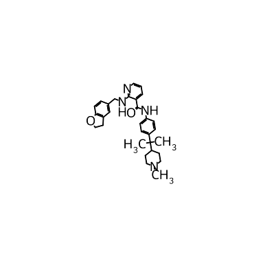 CN1CCC(C(C)(C)c2ccc(NC(=O)c3cccnc3NCc3ccc4c(c3)CCO4)cc2)CC1